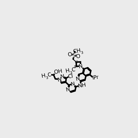 CC(O)Cn1cc(-c2nccc(Nc3cc4c(C(C)C)ccc(N5C[C@H](CS(C)(=O)=O)[C@H]5C)c4cn3)n2)c(Cl)n1